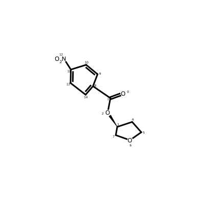 O=C(O[C@H]1CCOC1)c1ccc([N+](=O)[O-])cc1